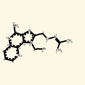 CC(C)=NOCc1nc2c(N)nc3cccnc3c2n1CC(C)C